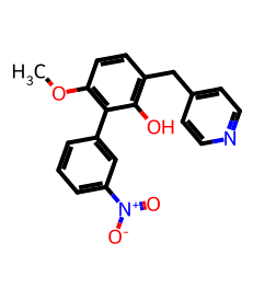 COc1ccc(Cc2ccncc2)c(O)c1-c1cccc([N+](=O)[O-])c1